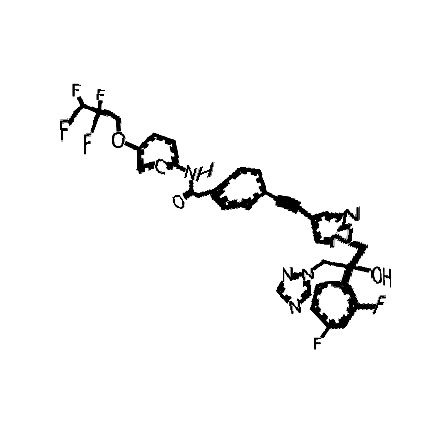 O=C(Nc1ccc(OCC(F)(F)C(F)F)cc1)c1ccc(C#Cc2cnn(CC(O)(Cn3cncn3)c3ccc(F)cc3F)c2)cc1